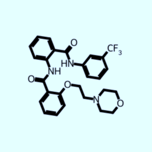 O=C(Nc1cccc(C(F)(F)F)c1)c1ccccc1NC(=O)c1ccccc1OCCN1CCOCC1